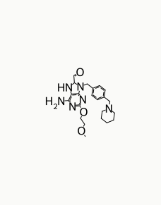 COCCOc1nc(N)c2c(n1)N(Cc1ccc(CN3CCCCC3)cc1)C(C=O)N2